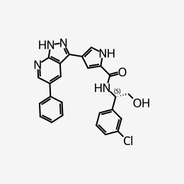 O=C(N[C@H](CO)c1cccc(Cl)c1)c1cc(-c2n[nH]c3ncc(-c4ccccc4)cc23)c[nH]1